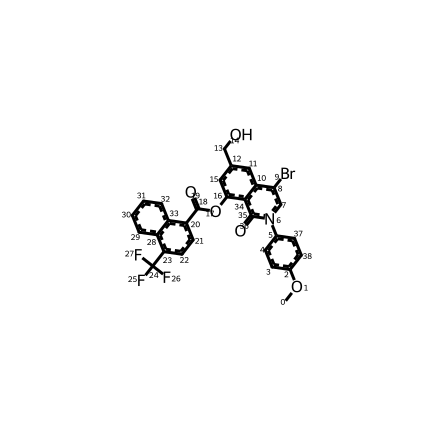 COc1ccc(-n2cc(Br)c3cc(CO)cc(OC(=O)c4ccc(C(F)(F)F)c5ccccc45)c3c2=O)cc1